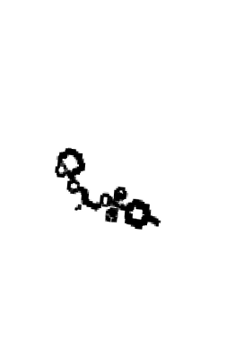 Cc1ccc(S(=O)(=O)OC[C@H](C)COC2CCCCO2)cc1